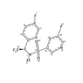 CCN([C@H](c1ccc(F)cc1)C(F)(F)F)S(=O)(=O)c1cncc(F)c1